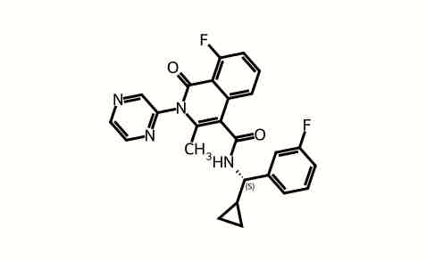 Cc1c(C(=O)N[C@H](c2cccc(F)c2)C2CC2)c2cccc(F)c2c(=O)n1-c1cnccn1